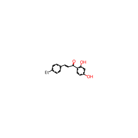 CCc1ccc(/C=C/C(=O)c2ccc(O)cc2O)cc1